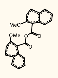 COc1ccc2ccccc2c1C(=O)OC(=O)c1c(OC)ccc2ccccc12